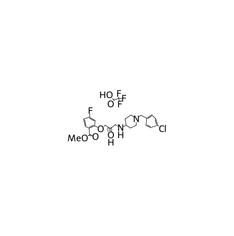 COC(=O)c1ccc(F)cc1OC[C@@H](O)CNC1CCN(Cc2ccc(Cl)cc2)CC1.O=C(O)C(F)(F)F